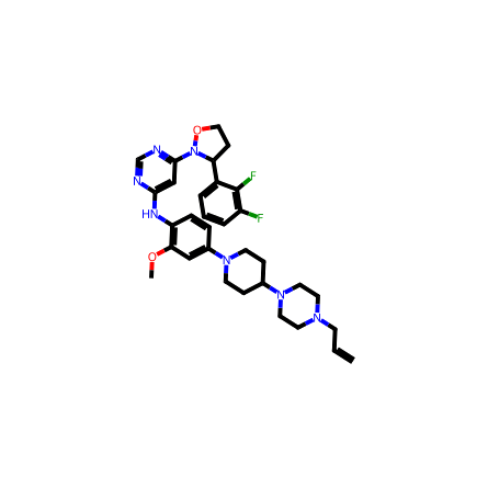 C=CCN1CCN(C2CCN(c3ccc(Nc4cc(N5OCCC5c5cccc(F)c5F)ncn4)c(OC)c3)CC2)CC1